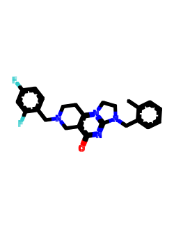 Cc1ccccc1CN1CCn2c1nc(=O)c1c2CCN(Cc2ccc(F)cc2F)C1